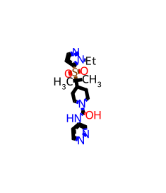 CCn1nccc1S(=O)(=O)C(C)(C)C1CCN(C(O)Nc2ccnnc2)CC1